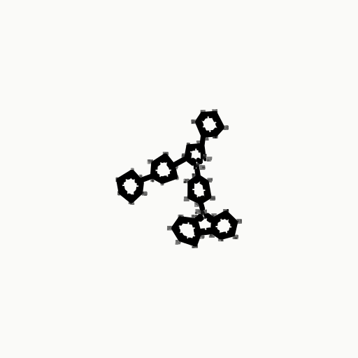 c1ccc(-c2ccc(-c3cc(-c4ccccc4)nn3-c3ccc(-n4c5ccccc5c5ccccc54)cc3)cc2)cc1